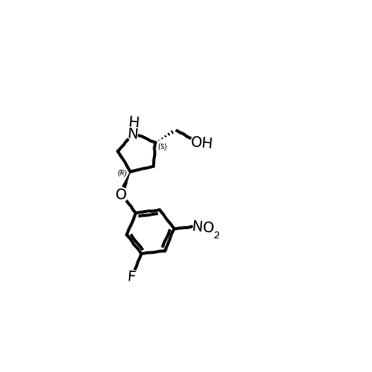 O=[N+]([O-])c1cc(F)cc(O[C@H]2CN[C@H](CO)C2)c1